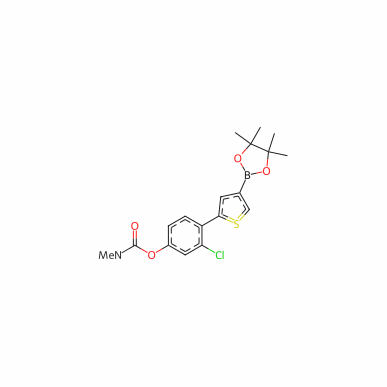 CNC(=O)Oc1ccc(-c2cc(B3OC(C)(C)C(C)(C)O3)cs2)c(Cl)c1